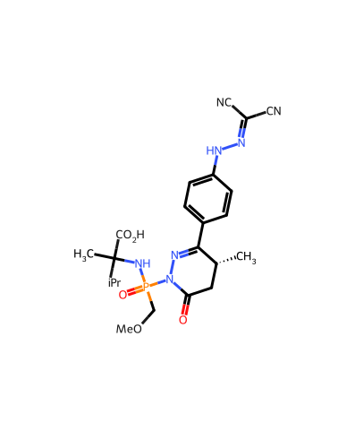 COCP(=O)(NC(C)(C(=O)O)C(C)C)N1N=C(c2ccc(NN=C(C#N)C#N)cc2)[C@H](C)CC1=O